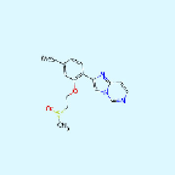 CSc1ccc(-c2cn3cnccc3n2)c(OCC[S+](C)[O-])c1